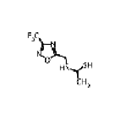 CC(S)NCc1nc(C(F)(F)F)no1